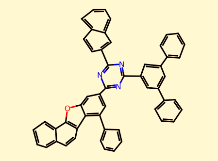 c1ccc(-c2cc(-c3ccccc3)cc(-c3nc(-c4ccc5ccccc5c4)nc(-c4cc(-c5ccccc5)c5c(c4)oc4c6ccccc6ccc45)n3)c2)cc1